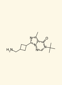 Cc1nc(C2CC(CN)C2)n2ncn(C(C)(C)C)c(=O)c12